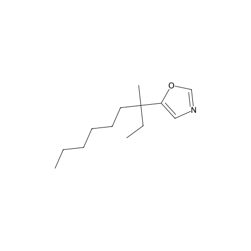 CCCCCCC(C)(CC)c1cnco1